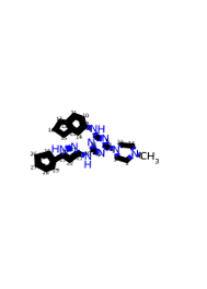 CN1CCN(c2nc(Nc3ccc4c(c3)CCC4)nc(Nc3cc(-c4ccccc4)[nH]n3)n2)CC1